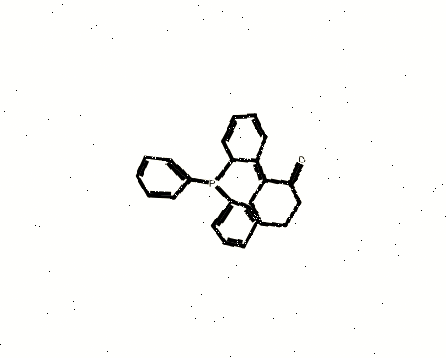 O=C1CCCCC1=C1C=CC=CC1P(c1ccccc1)c1ccccc1